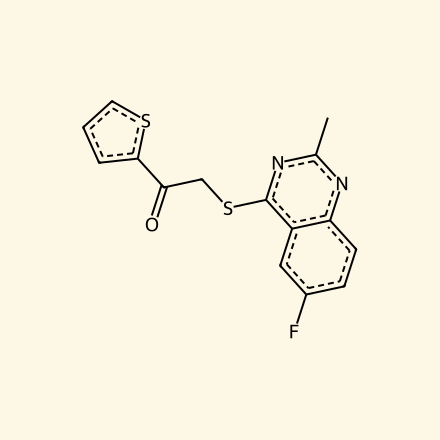 Cc1nc(SCC(=O)c2cccs2)c2cc(F)ccc2n1